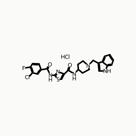 Cl.O=C(Nc1nc(C(=O)NC2CCN(Cc3c[nH]c4ccccc34)CC2)cs1)c1ccc(F)c(Cl)c1